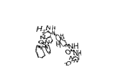 COc1nsc(NC(=O)N[C@H]2C[C@@H]3C[C@@H](Nc4c(N)cnc5c4ccn5S(=O)(=O)c4ccccc4)C[C@@H]3C2)n1